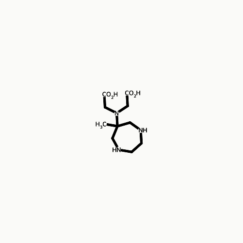 CC1(N(CC(=O)O)CC(=O)O)CNCCNC1